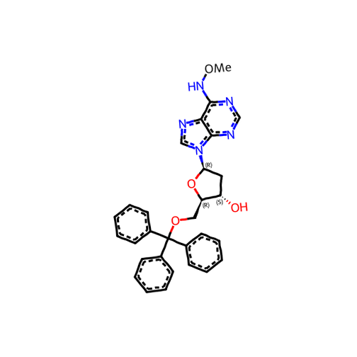 CONc1ncnc2c1ncn2[C@H]1C[C@H](O)[C@@H](COC(c2ccccc2)(c2ccccc2)c2ccccc2)O1